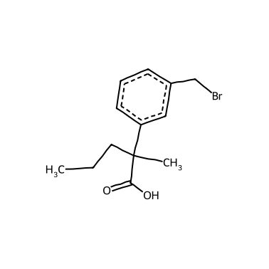 CCCC(C)(C(=O)O)c1cccc(CBr)c1